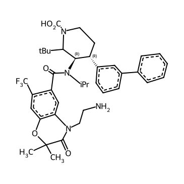 CC(C)N(C(=O)c1cc2c(cc1C(F)(F)F)OC(C)(C)C(=O)N2CCN)[C@H]1C(C(C)(C)C)N(C(=O)O)CC[C@@H]1c1cccc(-c2ccccc2)c1